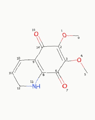 COC1=C(OC)C(=O)C2=C(C=CCN2)C1=O